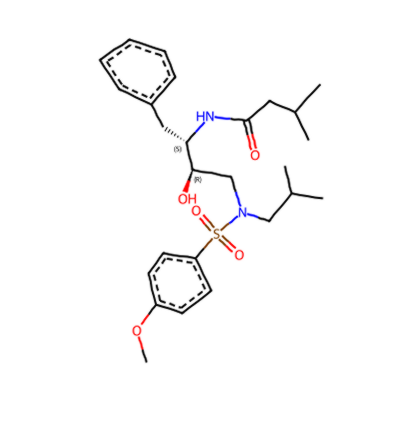 COc1ccc(S(=O)(=O)N(CC(C)C)C[C@@H](O)[C@H](Cc2ccccc2)NC(=O)CC(C)C)cc1